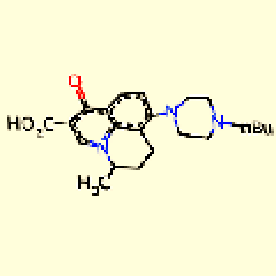 CCCCN1CCN(c2ccc3c(=O)c(C(=O)O)cn4c3c2CCC4C)CC1